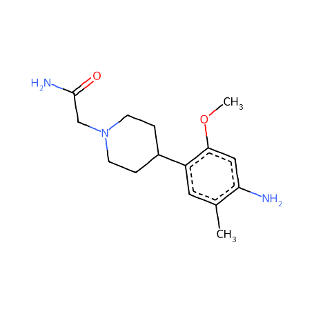 COc1cc(N)c(C)cc1C1CCN(CC(N)=O)CC1